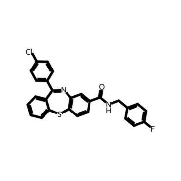 O=C(NCc1ccc(F)cc1)c1ccc2c(c1)N=C(c1ccc(Cl)cc1)c1ccccc1S2